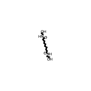 O=C(CCCCCCCCC(=O)NCCO)NCCO